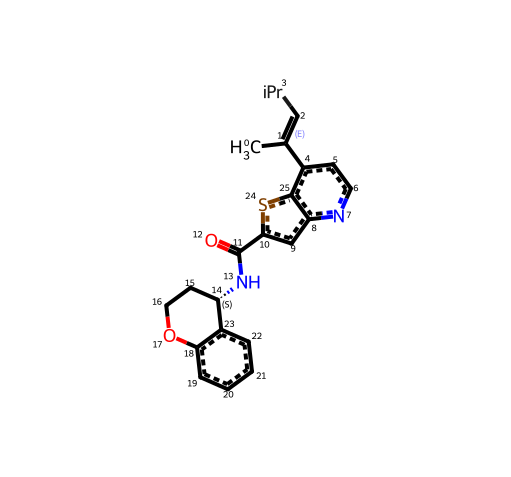 C/C(=C\C(C)C)c1ccnc2cc(C(=O)N[C@H]3CCOc4ccccc43)sc12